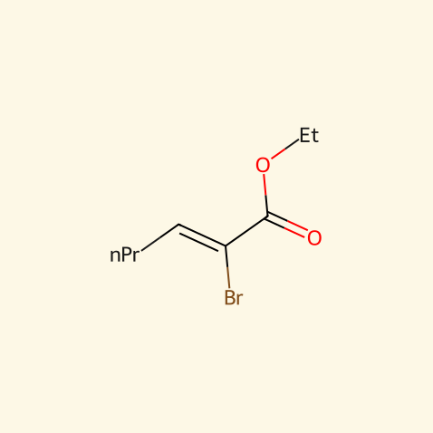 CCCC=C(Br)C(=O)OCC